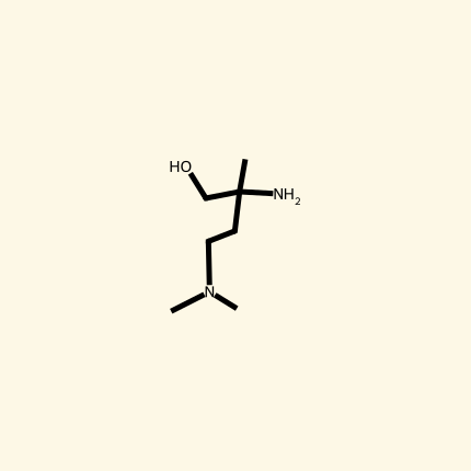 CN(C)CCC(C)(N)CO